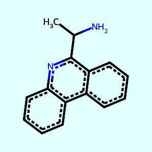 CC(N)c1nc2ccccc2c2ccccc12